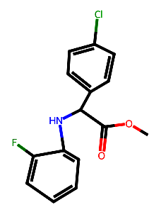 COC(=O)C(Nc1ccccc1F)c1ccc(Cl)cc1